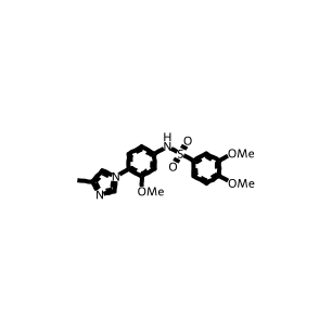 COc1ccc(S(=O)(=O)Nc2ccc(-n3cnc(C)c3)c(OC)c2)cc1OC